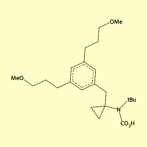 COCCCc1cc(CCCOC)cc(CC2(N(C(=O)O)C(C)(C)C)CC2)c1